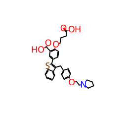 O=C(O)CCCOc1ccc(-c2sc3ccccc3c2Cc2ccc(OCCN3CCCC3)cc2)cc1C(=O)O